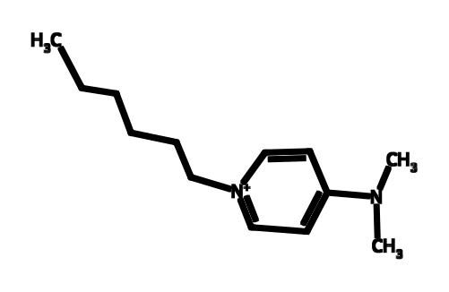 CCCCCC[n+]1ccc(N(C)C)cc1